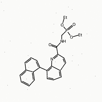 CCOP(=O)(CNC(=O)c1ccc2cccc(-c3cccc4ccccc34)c2n1)OCC